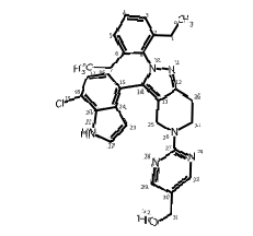 CCc1cccc(CC)c1-n1nc2c(c1-c1ccc(Cl)c3[nH]ccc13)CN(c1ncc(CO)cn1)CC2